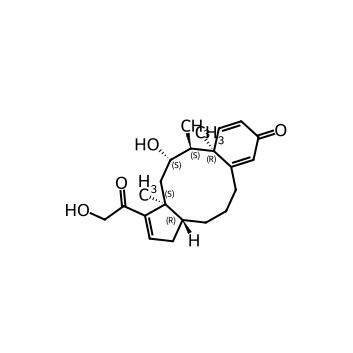 C[C@@H]1[C@@H](O)C[C@]2(C)C(C(=O)CO)=CC[C@H]2CCCC2=CC(=O)C=C[C@@]21C